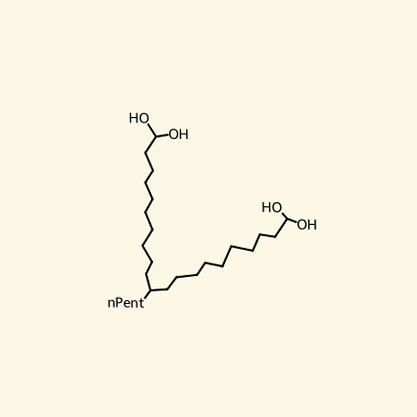 CCCCCC(CCCCCCCCCC(O)O)CCCCCCCCCC(O)O